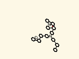 c1ccc(-c2cccc(-c3ccc(N(c4ccc(-c5cccc(-c6cccc7c6oc6ccccc67)c5)cc4)c4ccc(-c5ccccc5-c5ccccc5-n5c6ccccc6c6ccccc65)cc4)cc3)c2)cc1